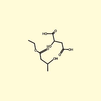 CCOC(=O)CC(C)O.O=C(O)CC(O)C(=O)O